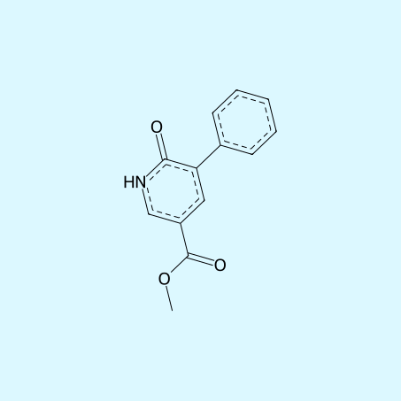 COC(=O)c1c[nH]c(=O)c(-c2ccccc2)c1